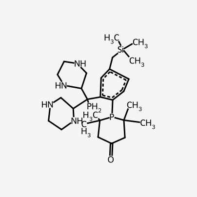 CC1(C)CC(=O)CC(C)(C)P1c1ccc(C[Si](C)(C)C)cc1C(P)(C1CNCCN1)C1CNCCN1